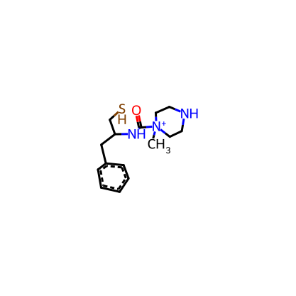 C[N+]1(C(=O)NC(CS)Cc2ccccc2)CCNCC1